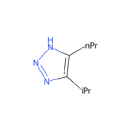 CCCc1[nH]nnc1C(C)C